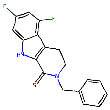 Fc1cc(F)c2c3c([nH]c2c1)C(=S)N(Cc1ccccc1)CC3